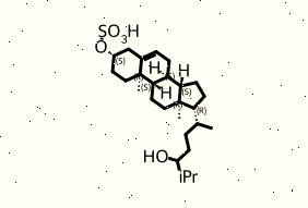 CC(C)C(O)CCC(C)[C@H]1CC[C@H]2[C@@H]3CC=C4C[C@@H](OS(=O)(=O)O)CC[C@]4(C)[C@H]3CC[C@]12C